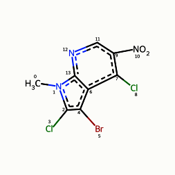 Cn1c(Cl)c(Br)c2c(Cl)c([N+](=O)[O-])cnc21